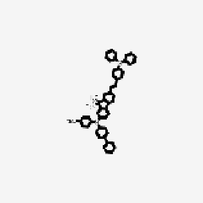 CC(C)(C)c1ccc(N(c2ccc(-c3ccccc3)cc2)c2ccc3c(c2)C(C)(C)c2cc(/C=C/c4ccc(N(c5ccccc5)c5ccccc5)cc4)ccc2-3)cc1